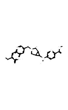 C=C(NC)c1ccc(N(C)C2C3CN(Cc4cnc5cc(CC)c(=O)[nH]c5c4)CC32)cn1